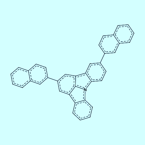 c1ccc2cc(-c3ccc4c(c3)c3cc(-c5ccc6ccccc6c5)cc5c6ccccc6n4c53)ccc2c1